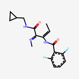 C/C=C(NC(=O)c1c(F)cccc1F)\C(=N/C)C(=O)NCC1CC1